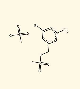 CS(=O)(=O)Cl.CS(=O)(=O)OCc1cc(Br)cc(C(F)(F)F)c1